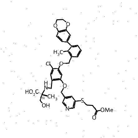 COC(=O)CCSc1cncc(COc2cc(OCc3cccc(-c4ccc5c(c4)OCCO5)c3C)c(Cl)cc2CN[C@@](C)(CO)C(=O)O)c1